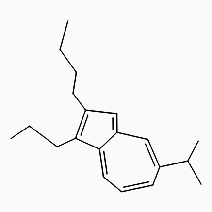 CCCCc1cc2cc(C(C)C)cccc-2c1CCC